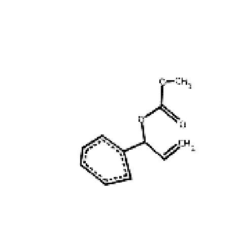 C=CC(OC(=O)OC)c1ccccc1